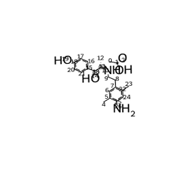 CC(=O)O.Cc1cc(CCN[C@@H](C)[C@H](O)c2ccc(O)cc2)c(C)cc1N